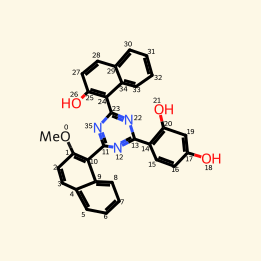 COc1ccc2ccccc2c1-c1nc(-c2ccc(O)cc2O)nc(-c2c(O)ccc3ccccc23)n1